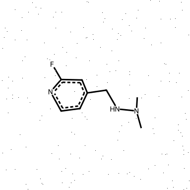 CN(C)NCc1ccnc(F)c1